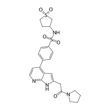 O=C(Cc1cc2c(-c3ccc(S(=O)(=O)NC4CCS(=O)(=O)C4)cc3)ccnc2[nH]1)N1CCCC1